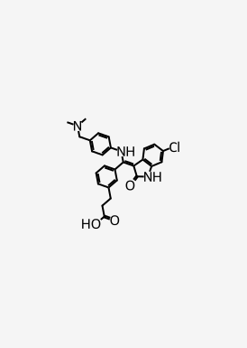 CN(C)Cc1ccc(NC(=C2C(=O)Nc3cc(Cl)ccc32)c2cccc(CCC(=O)O)c2)cc1